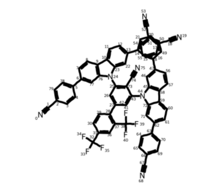 N#Cc1ccc(-c2ccc3c4ccc(-c5ccc(C#N)cc5)cc4n(-c4cc(-c5ccc(C(F)(F)F)cc5C(F)(F)F)cc(-n5c6cc(-c7ccc(C#N)cc7)ccc6c6ccc(-c7ccc(C#N)cc7)cc65)c4C#N)c3c2)cc1